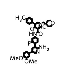 COc1ccc(-c2cnc(N)c(-c3ccc(NC(=O)c4cn(CC5(C#N)CCOCC5)cc(-c5ccc(C)cc5)c4=O)cc3F)c2)cc1OC